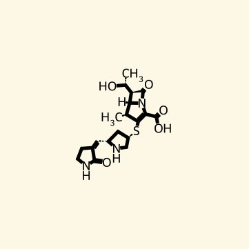 C[C@@H](O)[C@H]1C(=O)N2C(C(=O)O)=C(S[C@@H]3CN[C@H](/C=C4/CCNC4=O)C3)[C@H](C)[C@H]12